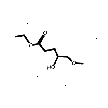 CCOC(=O)CCC(O)COC